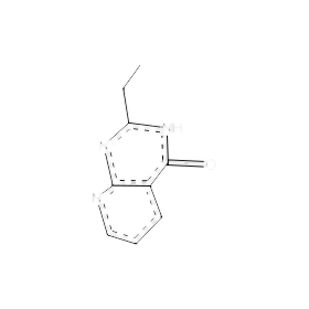 CCc1nc2ncccc2c(=O)[nH]1